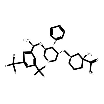 C[C@@H](O[C@@H]1COC[C@@H](CN2CCC[C@@](C)(C(=O)O)C2)[C@H]1c1ccccc1)c1cc(C(F)(F)F)cc(C(F)(F)F)c1